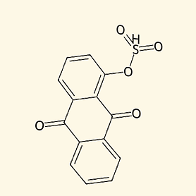 O=C1c2ccccc2C(=O)c2c(O[SH](=O)=O)cccc21